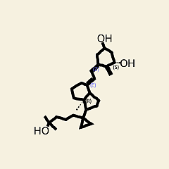 C=C1/C(=C\C=C2/CCC[C@@]3(C)C2CCC3C2(CCCC(C)(C)O)CC2)CC(O)C[C@@H]1O